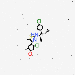 C#CC(Nc1nc(-c2cc(C)c(OC)cc2Cl)c(C)s1)[C@@H](CC1CC1)c1ccc(Cl)cc1